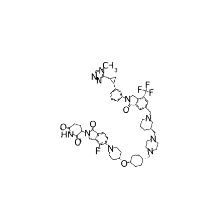 Cn1cnnc1C1CC1c1cccc(N2Cc3c(cc(CN4CCC[C@H](CN5CCN(C[C@H]6CC[C@H](OC7CCN(c8ccc9c(c8F)CN(C8CCC(=O)NC8=O)C9=O)CC7)CC6)CC5)C4)cc3C(F)(F)F)C2=O)c1